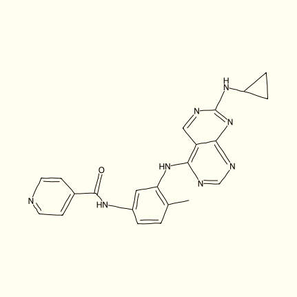 Cc1ccc(NC(=O)c2ccncc2)cc1Nc1ncnc2nc(NC3CC3)ncc12